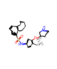 C[C@@]1(Oc2cc(NS(=O)(=O)c3cccc4c3CCCC4)ccc2C(F)(F)F)CCNC1